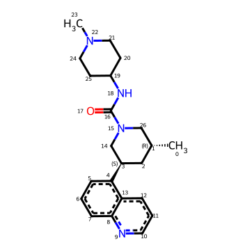 C[C@@H]1C[C@@H](c2cccc3ncccc23)CN(C(=O)NC2CCN(C)CC2)C1